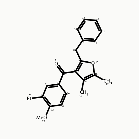 CCc1cc(C(=O)c2c(Cc3ccccc3)oc(C)c2C)ccc1OC